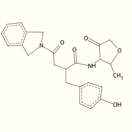 CC1OCC(=O)C1NC(=O)C(CC(=O)N1Cc2ccccc2C1)Cc1ccc(O)cc1